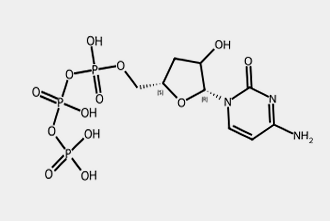 Nc1ccn([C@@H]2O[C@H](COP(=O)(O)OP(=O)(O)OP(=O)(O)O)CC2O)c(=O)n1